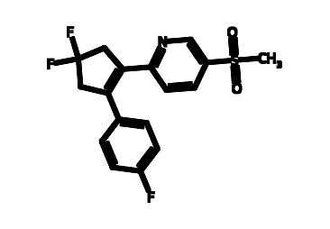 CS(=O)(=O)c1ccc(C2=C(c3ccc(F)cc3)CC(F)(F)C2)nc1